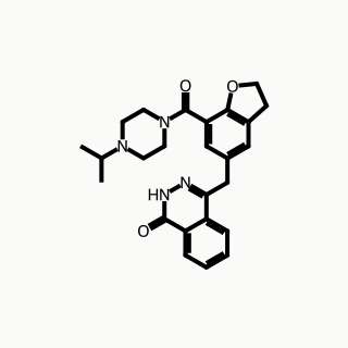 CC(C)N1CCN(C(=O)c2cc(Cc3n[nH]c(=O)c4ccccc34)cc3c2OCC3)CC1